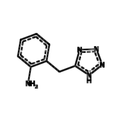 Nc1ccccc1Cc1nnn[nH]1